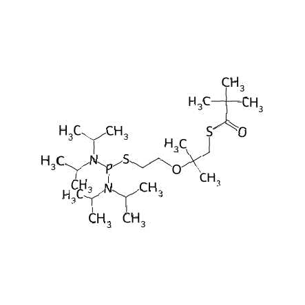 CC(C)N(C(C)C)P(SCCOC(C)(C)CSC(=O)C(C)(C)C)N(C(C)C)C(C)C